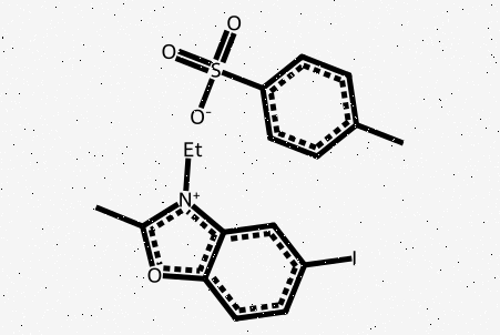 CC[n+]1c(C)oc2ccc(I)cc21.Cc1ccc(S(=O)(=O)[O-])cc1